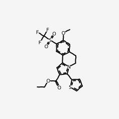 CCOC(=O)c1cc2n(c1-c1cccs1)CCc1cc(OC)c(S(=O)(=O)C(F)(F)F)cc1-2